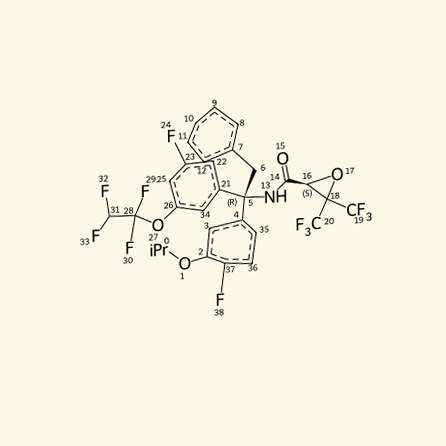 CC(C)Oc1cc([C@@](Cc2ccccc2)(NC(=O)[C@H]2OC2(C(F)(F)F)C(F)(F)F)c2cc(F)cc(OC(F)(F)C(F)F)c2)ccc1F